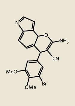 COc1cc(C2C3=CC=C4N=CC=C4C3OC(N)=C2C#N)cc(Br)c1OC